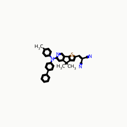 Cc1ccc(N(c2ccc(-c3ccccc3)cc2)c2cc3c(cn2)-c2sc(C=C(C#N)C#N)cc2C3(C)C)cc1